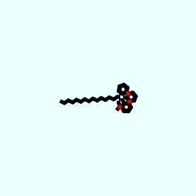 CCCCCCCCCCCCCCCP(CCC)(c1ccccc1)(c1ccccc1)c1ccccc1